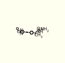 CC(CNC(=O)CN)c1ccc(C#Cc2cnc(OC3CCC3)nc2)cc1